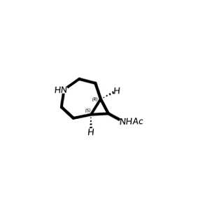 CC(=O)NC1[C@H]2CCNCC[C@@H]12